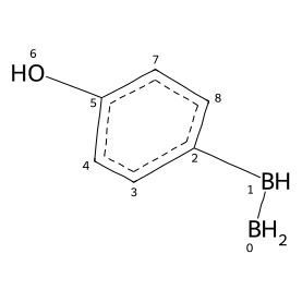 BBc1ccc(O)cc1